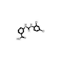 O=C(Nc1cccc(C(=O)O)c1)Nc1ccc(Cl)cc1Cl